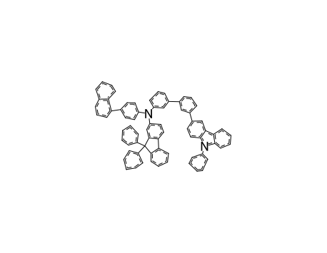 c1ccc(-n2c3ccccc3c3cc(-c4cccc(-c5cccc(N(c6ccc(-c7cccc8ccccc78)cc6)c6ccc7c(c6)C(c6ccccc6)(c6ccccc6)c6ccccc6-7)c5)c4)ccc32)cc1